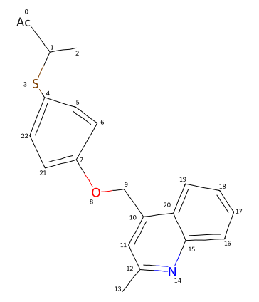 CC(=O)C(C)Sc1ccc(OCc2cc(C)nc3ccccc23)cc1